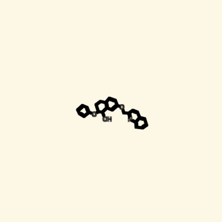 OC1c2cc(OCc3ccc4ccccc4n3)ccc2CCC1Oc1ccccc1